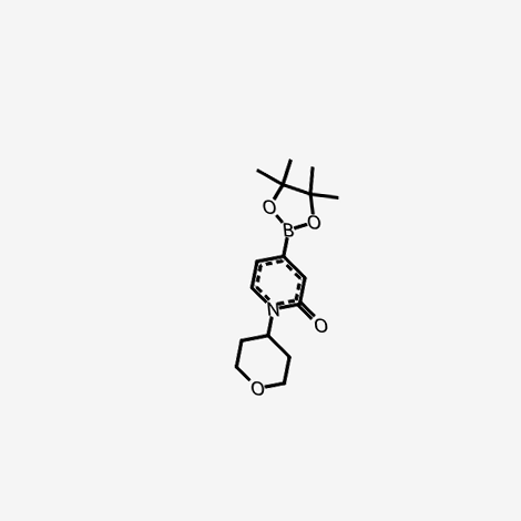 CC1(C)OB(c2ccn(C3CCOCC3)c(=O)c2)OC1(C)C